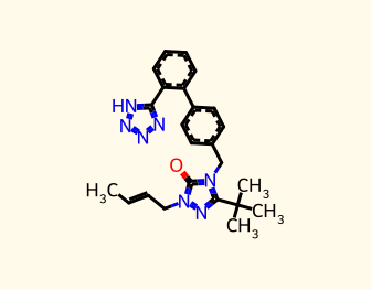 CC=CCn1nc(C(C)(C)C)n(Cc2ccc(-c3ccccc3-c3nnn[nH]3)cc2)c1=O